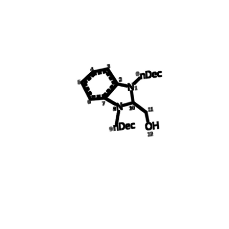 CCCCCCCCCCN1c2ccccc2N(CCCCCCCCCC)C1CO